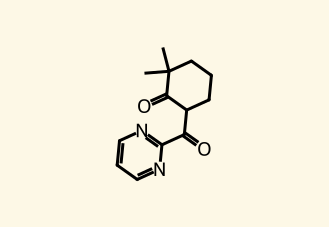 CC1(C)CCCC(C(=O)c2ncccn2)C1=O